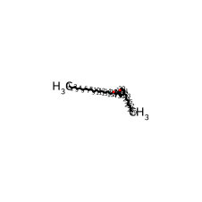 CCCCCCCCCCCCCCCCCC[n+]1cccc(CCCCCCC)c1